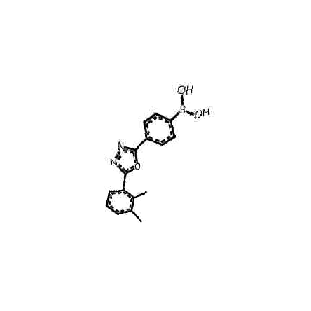 Cc1cccc(-c2nnc(-c3ccc(B(O)O)cc3)o2)c1C